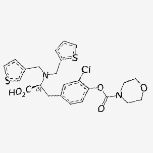 O=C(O)[C@H](Cc1ccc(OC(=O)N2CCOCC2)c(Cl)c1)N(Cc1ccsc1)Cc1cccs1